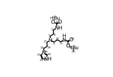 CC(C)(C)OC(=O)NCCCN(CCCNC(=O)OC(C)(C)C)CCC[n+]1cc[nH]c1.[I-]